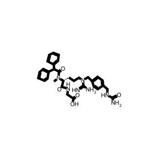 CN(C(=O)C(c1ccccc1)c1ccccc1)[C@H](CCCN(Cc1ccc(CNC(N)=O)cc1)C(=N)N)C(=O)NCC(=O)O